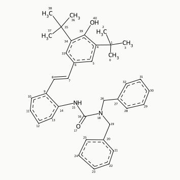 CC(C)(C)c1cc(/C=C/c2ccccc2NC(=O)N(Cc2ccccc2)Cc2ccccc2)cc(C(C)(C)C)c1O